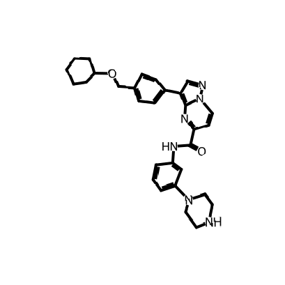 O=C(Nc1cccc(N2CCNCC2)c1)c1ccn2ncc(-c3ccc(COC4CCCCC4)cc3)c2n1